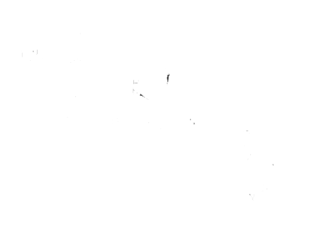 CO[C@H]1CN(CCc2c(C)nc3n(c2=O)CCS3)CC[C@H]1NC(=O)c1cc(Cl)c(N)c2c1OCC2